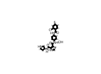 Cl.O=C(Nc1ccc(NC(=O)c2nc[nH]c2C(=O)N[C@@H]2CCNC2)cc1)c1ccc(F)cc1Cl